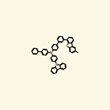 Cc1ccc2sc3c(-c4cccc(-c5ccc(N(c6ccc(-c7ccccc7)cc6)c6ccc(-n7c8ccccc8c8ccccc87)cc6)cc5)c4)cccc3c2c1